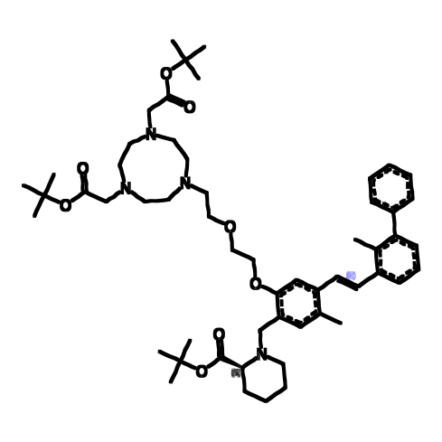 Cc1cc(CN2CCCC[C@H]2C(=O)OC(C)(C)C)c(OCCOCCN2CCN(CC(=O)OC(C)(C)C)CCN(CC(=O)OC(C)(C)C)CC2)cc1/C=C/c1cccc(-c2ccccc2)c1C